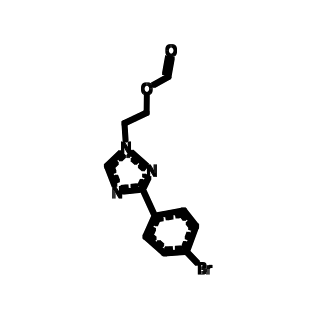 O=COCCn1cnc(-c2ccc(Br)cc2)n1